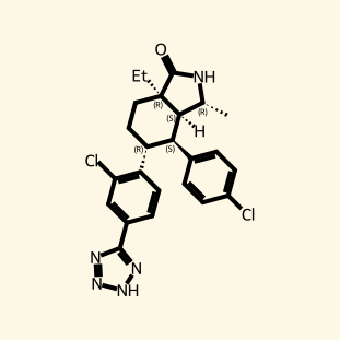 CC[C@@]12CC[C@@H](c3ccc(-c4nn[nH]n4)cc3Cl)[C@H](c3ccc(Cl)cc3)[C@@H]1[C@@H](C)NC2=O